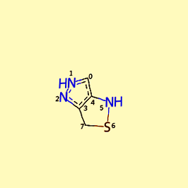 c1[nH]nc2c1NSC2